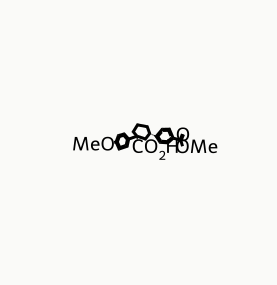 COC(=O)c1ccc([C@H]2CCC[C@](C(=O)O)(c3ccc(OC)cc3)C2)cc1